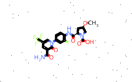 CO[C@@H]1C[C@H](C(=O)Nc2ccc(-n3cc(C(F)(F)F)cc(C(N)=O)c3=O)cc2F)N(C(=O)O)C1